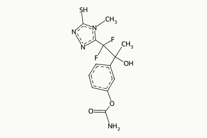 Cn1c(S)nnc1C(F)(F)C(C)(O)c1cccc(OC(N)=O)c1